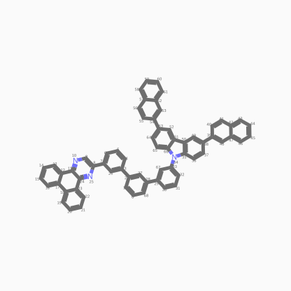 c1cc(-c2cccc(-c3cnc4c5ccccc5c5ccccc5c4n3)c2)cc(-c2cccc(-n3c4ccc(-c5ccc6ccccc6c5)cc4c4cc(-c5ccc6ccccc6c5)ccc43)c2)c1